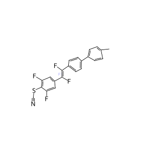 Cc1ccc(-c2ccc(/C(F)=C(\F)c3cc(F)c(SC#N)c(F)c3)cc2)cc1